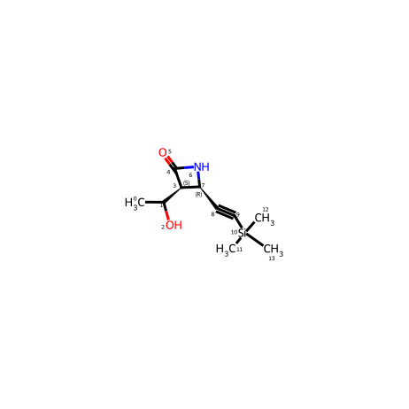 CC(O)[C@H]1C(=O)N[C@H]1C#C[Si](C)(C)C